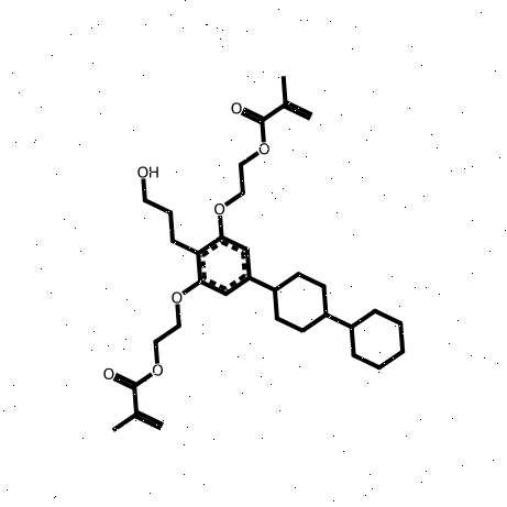 C=C(C)C(=O)OCCOc1cc(C2CCC(C3CCCCC3)CC2)cc(OCCOC(=O)C(=C)C)c1CCCO